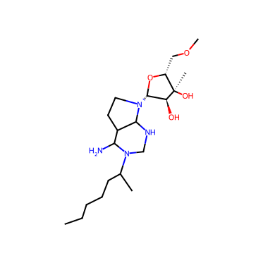 CCCCCC(C)N1CNC2C(CCN2[C@@H]2O[C@H](COC)[C@@](C)(O)[C@H]2O)C1N